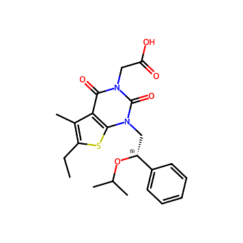 CCc1sc2c(c1C)c(=O)n(CC(=O)O)c(=O)n2C[C@@H](OC(C)C)c1ccccc1